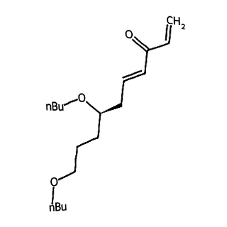 C=CC(=O)/C=C/C[C@@H](CCCOCCCC)OCCCC